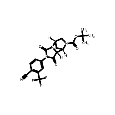 CC(C)(C)OC(=O)N1C[C@@H]2C[C@H]1[C@@H]1C(=O)N(c3ccc(C#N)c(C(F)(F)F)c3)C(=O)N21